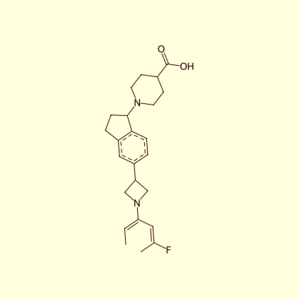 C/C=C(\C=C(/C)F)N1CC(c2ccc3c(c2)CCC3N2CCC(C(=O)O)CC2)C1